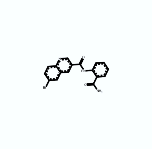 NC(=O)c1ccccc1NC(=O)c1cnc2ccc(Br)cc2c1